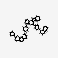 c1ccc(-c2ccc3ccc4ccc(-c5ccc(-c6cccc7c6nc(-c6ccc(-c8cccc9ccccc89)cc6)c6c8ccccc8oc76)cc5)nc4c3n2)cc1